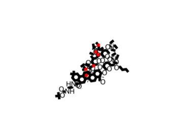 CCCCOC(=O)C1OC(O[C@H]2CC[C@@]3(C)C(CC[C@]4(C)C3CC=C3C5CC(C)(C)CC[C@]5(C(=O)NCCNC(=O)OC(C)(C)C)[C@H](OC)C[C@]34C)[C@]2(C)C=O)C(OC2OC(CO[Si](CC)(CC)CC)C(C)C(O[Si](CC)(CC)CC)C2O[Si](CC)(CC)CC)C(OC2OCC(O[Si](CC)(CC)CC)C(C)C2O[Si](CC)(CC)CC)C1O[Si](CC)(CC)CC